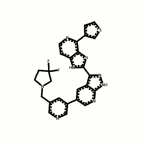 FC1(F)CCN(Cc2cncc(-c3cnc4[nH]nc(-c5nc6c(-c7ccsc7)nccc6[nH]5)c4c3)c2)C1